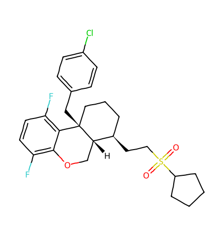 O=S(=O)(CC[C@@H]1CCC[C@@]2(Cc3ccc(Cl)cc3)c3c(F)ccc(F)c3OC[C@@H]12)C1CCCC1